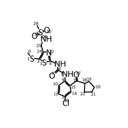 CSc1sc(NC(=O)Nc2ccc(Cl)cc2C(=O)C2CCCC2)nc1CNS(C)(=O)=O